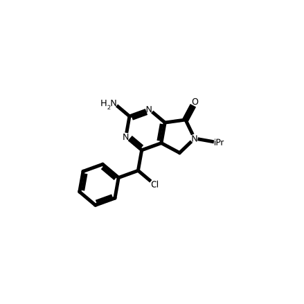 CC(C)N1Cc2c(nc(N)nc2C(Cl)c2ccccc2)C1=O